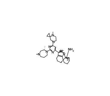 C[C@H]1CN(C)CCCN1c1nc(-c2noc3c2CCC[C@@]32CCCc3sc(N)c(C#N)c32)cc(N2CCN(C)C3(CC3)C2)n1